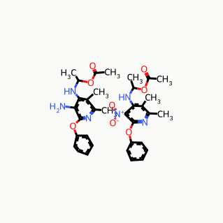 CC(=O)OC(C)Nc1c(C)c(C)nc(Oc2ccccc2)c1N.CC(=O)OC(C)Nc1c(C)c(C)nc(Oc2ccccc2)c1[N+](=O)[O-]